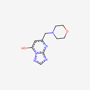 Oc1cc(CN2CCOCC2)nc2ncnn12